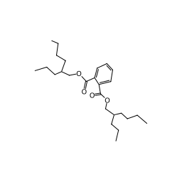 CCCCC(CCC)COC(=O)c1ccccc1C(=O)OCC(CCC)CCCC